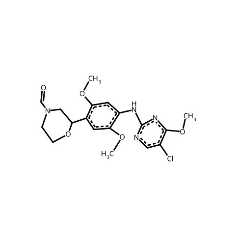 COc1cc(C2CN(C=O)CCO2)c(OC)cc1Nc1ncc(Cl)c(OC)n1